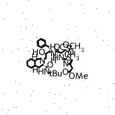 COC(=O)Cc1csc(N[C@H](C(=O)N[C@@H](Cc2ccccc2)[C@H](O)CN2C[C@H]3CCCC[C@H]3C[C@H]2C(=O)NC(C)(C)C)C(C)(C)S(C)(=O)=O)n1